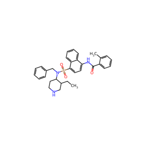 CCC1CNCCC1N(Cc1ccccc1)S(=O)(=O)c1ccc(NC(=O)c2ccccc2C)c2ccccc12